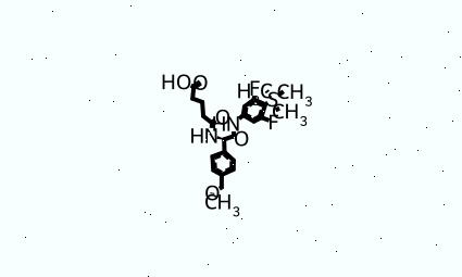 COCc1ccc([C@@H](NC(=O)CCCC(=O)O)C(=O)Nc2cc(F)c(S(C)(C)C)c(F)c2)cc1